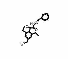 CCc1cc(CN)cc(CC)c1C(=O)C(=O)NN=Cc1ccccc1